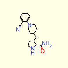 N#Cc1ccccc1N1CCC([CH]C2CCNC2C(N)=O)CC1